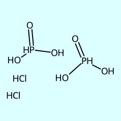 Cl.Cl.O=[PH](O)O.O=[PH](O)O